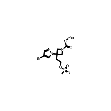 CC(C)(C)OC(=O)N1CC(CCOS(C)(=O)=O)(n2cc(Br)cn2)C1